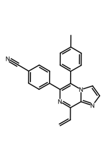 C=Cc1nc(-c2ccc(C#N)cc2)c(-c2ccc(C)cc2)n2ccnc12